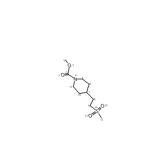 COC(=O)N1CCC(CCS(C)(=O)=O)CC1